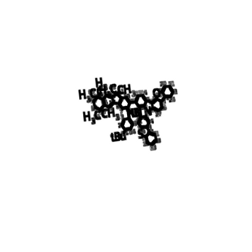 CC(C)(C)c1ccc(Nc2cc3c(cc2-c2ccc4c5c6oc7ccccc7c6ccc5n5c4c2Bc2cc4sc6ccccc6c4cc2-5)C(C)(C)c2cc4c(cc2-3)C(C)(C)CCC4(C)C)cc1